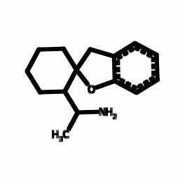 CC(N)C1CCCCC12Cc1ccccc1O2